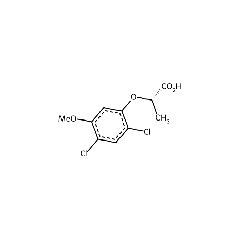 COc1cc(O[C@@H](C)C(=O)O)c(Cl)cc1Cl